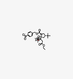 CCOC(=O)CC(NC)[C@@]1(O[SiH](C)C)C[C@H](C(C)(C)C)CN1C(=O)OCc1ccc([N+](=O)[O-])cc1